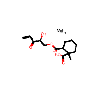 C=CC(=O)C(O)COC(=O)C1CCCCC1(C)C(=O)O.[MgH2]